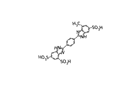 Cc1cc(S(=O)(=O)O)cc2[nH]c(-c3ccc(-c4nc5c(S(=O)(=O)O)cc(S(=O)(=O)O)cc5[nH]4)cc3)nc12